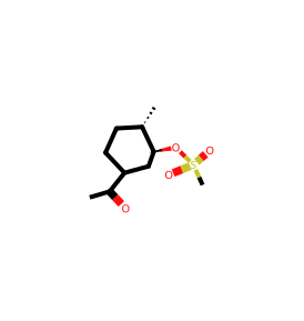 CC(=O)C1CC[C@H](C)[C@@H](OS(C)(=O)=O)C1